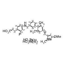 COc1cc(COc2cc(C)c(-c3cccc(CNc4ccc(CCC(=O)O)c(F)c4)c3)c(C)c2)n(C)n1.CS(=O)(=O)O.CS(=O)(=O)O